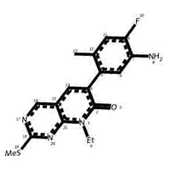 CCn1c(=O)c(-c2cc(N)c(F)cc2C)cc2cnc(SC)nc21